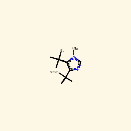 CCCCCC(C)(C)c1ncn(CCCC)c1C(C)(C)CC